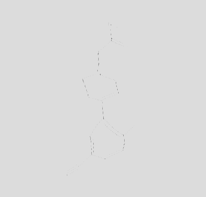 Cc1ccc(C#N)cc1C1=CCN(CC(N)=O)CC1